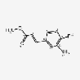 COC(=O)C=Cc1ccc(F)c(N)c1